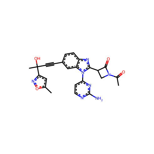 CC(=O)N1CC(c2nc3ccc(C#CC(C)(O)c4cc(C)on4)cc3n2-c2ccnc(N)n2)C1=O